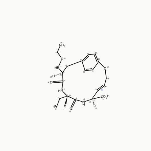 CC(C)C[C@@H]1NC(=O)[C@@H](BOCN)Cc2ccc(cc2)OC/C=C/[C@@H](C(=O)O)NC1=O